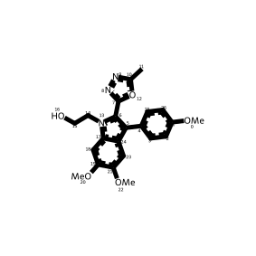 COc1ccc(-c2c(-c3nnc(C)o3)n(CCO)c3cc(OC)c(OC)cc23)cc1